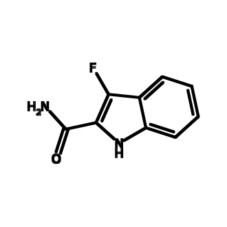 NC(=O)c1[nH]c2ccccc2c1F